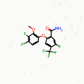 COc1c(Oc2cc(C(F)(F)F)c(F)cc2C(N)=O)ccc(F)c1F